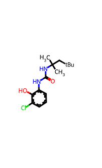 CC(C)(C)CC(C)(C)NC(=O)Nc1cccc(Cl)c1O